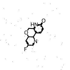 O=c1ccc2c([nH]1)COC1C=C(F)C=NC21